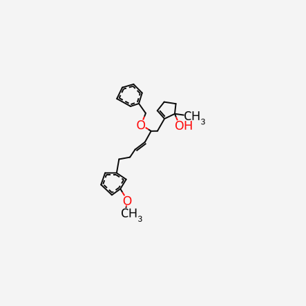 COc1cccc(CC/C=C/C(CC2=CCCC2(C)O)OCc2ccccc2)c1